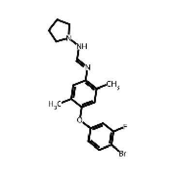 Cc1cc(Oc2ccc(Br)c(F)c2)c(C)cc1/N=C/NN1CCCC1